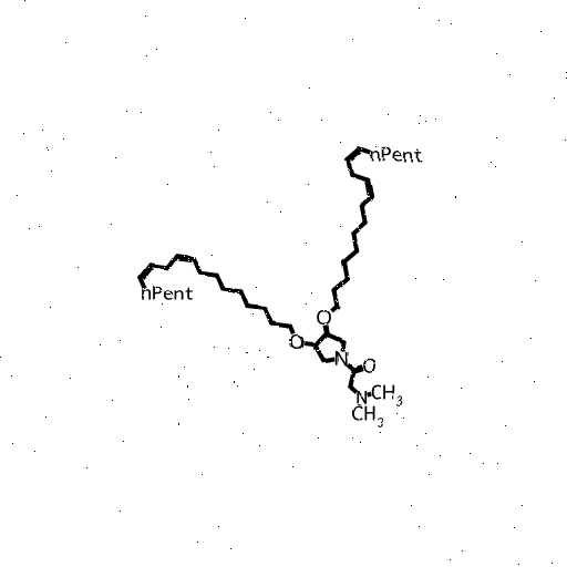 CCCCC/C=C\C/C=C\CCCCCCCCOC1CN(C(=O)CN(C)C)CC1OCCCCCCCC/C=C\C/C=C\CCCCC